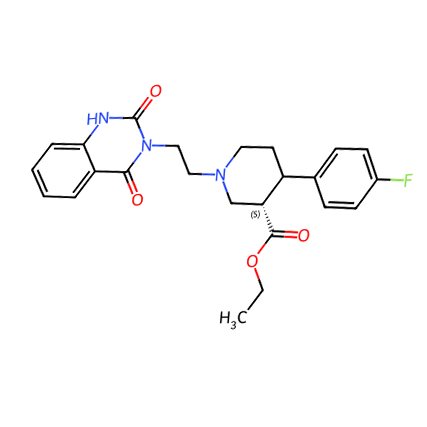 CCOC(=O)[C@@H]1CN(CCn2c(=O)[nH]c3ccccc3c2=O)CCC1c1ccc(F)cc1